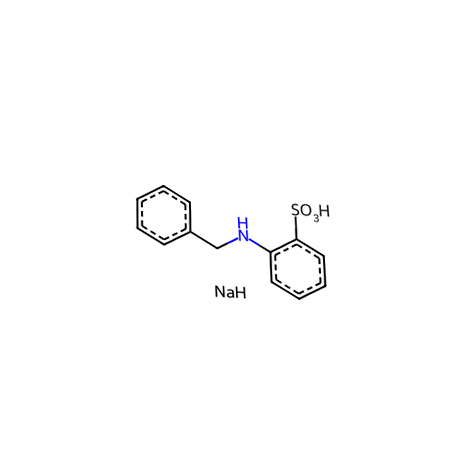 O=S(=O)(O)c1ccccc1NCc1ccccc1.[NaH]